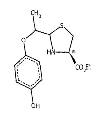 CCOC(=O)[C@@H]1CSC(C(C)Oc2ccc(O)cc2)N1